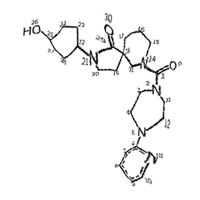 O=C(N1CCN(c2ccccn2)CC1)N1CCCC2(CCN(C3CCC(O)CC3)C2=O)C1